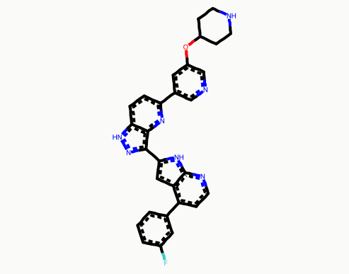 Fc1cccc(-c2ccnc3[nH]c(-c4n[nH]c5ccc(-c6cncc(OC7CCNCC7)c6)nc45)cc23)c1